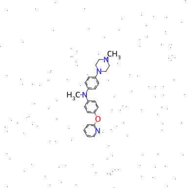 CN1CCN(c2ccc(N(C)c3ccc(Oc4ccccn4)cc3)cc2)CC1